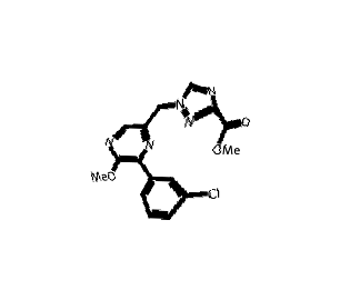 COC(=O)c1ncn(Cc2cnc(OC)c(-c3cccc(Cl)c3)n2)n1